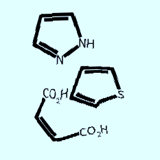 O=C(O)/C=C\C(=O)O.c1ccsc1.c1cn[nH]c1